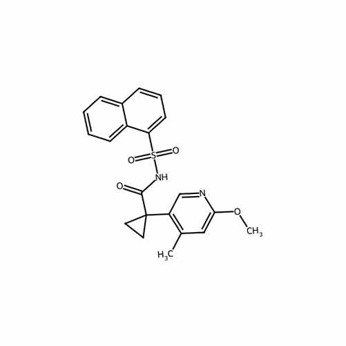 COc1cc(C)c(C2(C(=O)NS(=O)(=O)c3cccc4ccccc34)CC2)cn1